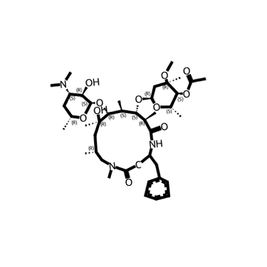 CO[C@]1(C)C[C@H](O[C@H]2[C@H](C)[C@@H](O[C@@H]3O[C@H](C)C[C@H](N(C)C)[C@H]3O)[C@](C)(O)C[C@@H](C)CN(C)C(=O)CC(Cc3ccccc3)NC(=O)[C@@H]2C)O[C@@H](C)[C@@H]1OC(C)=O